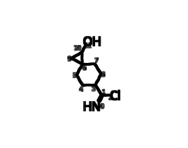 N=C(Cl)C1CCC2(CC1)CC2O